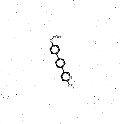 CCCCCCCCOc1ccc(-c2ccc(-c3ccc(C(F)(F)F)nc3)cc2)cc1